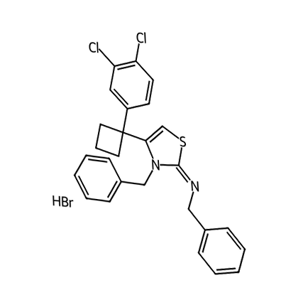 Br.Clc1ccc(C2(c3csc(=NCc4ccccc4)n3Cc3ccccc3)CCC2)cc1Cl